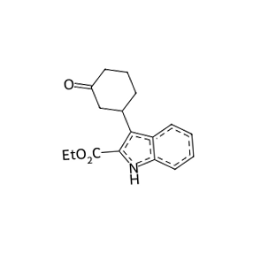 CCOC(=O)c1[nH]c2ccccc2c1C1CCCC(=O)C1